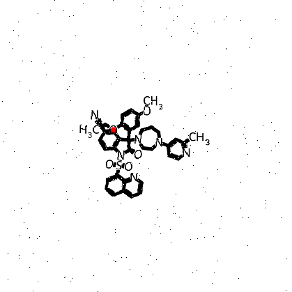 CCOc1ccc(OC)cc1C1(N2CCCN(c3ccnc(C)c3)CC2)C(=O)N(S(=O)(=O)c2cccc3cccnc23)c2ccc(C#N)cc21